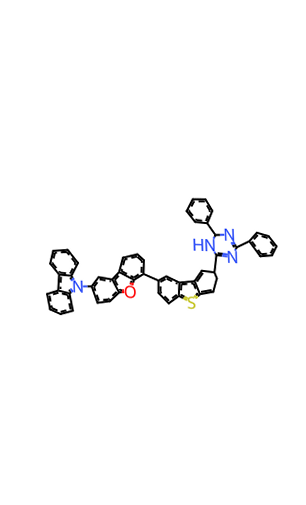 C1=c2sc3ccc(-c4cccc5c4oc4ccc(-n6c7ccccc7c7ccccc76)cc45)cc3c2=CC(C2=NC(c3ccccc3)=NC(c3ccccc3)N2)C1